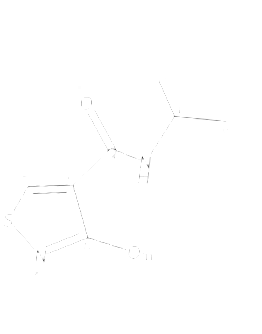 CC(C)NC(=O)c1csnc1[O]